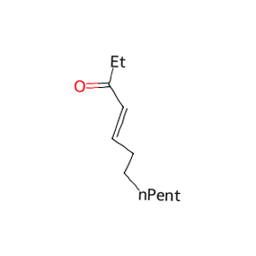 CCCCCCCC=CC(=O)CC